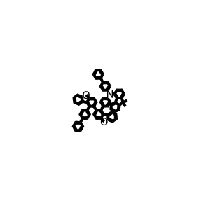 CC1(C)c2ccccc2-c2c(N(c3ccc(-c4ccccc4)cc3)c3ccc(-c4c(-c5ccc6oc7ccccc7c6c5-c5ccc(-c6ccccc6)cc5)ccc5oc6ccccc6c45)cc3)cccc21